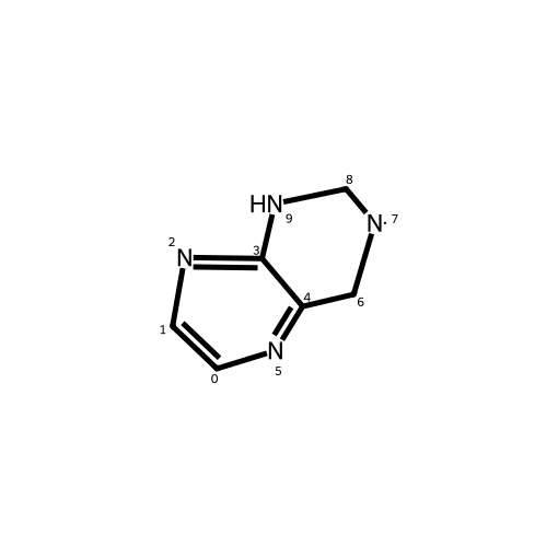 c1cnc2c(n1)C[N]CN2